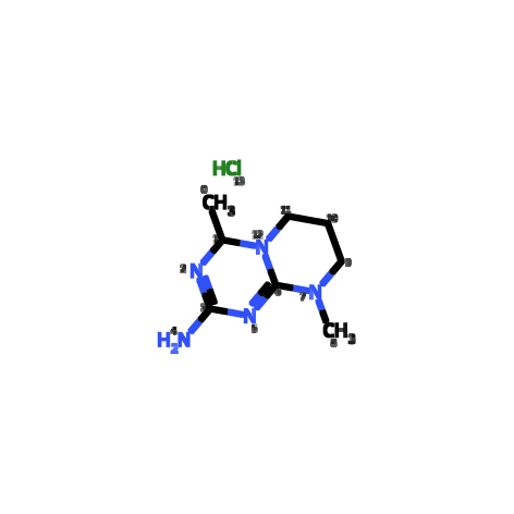 CC1N=C(N)N=C2N(C)CCCN21.Cl